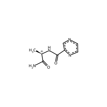 C[C@@H](NC(=O)c1cnccn1)C(N)=O